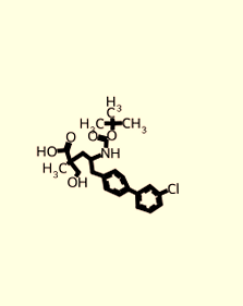 CC(C)(C)OC(=O)NC(Cc1ccc(-c2cccc(Cl)c2)cc1)CC(C)(CO)C(=O)O